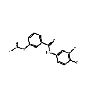 CC(C)NSc1cccc(C(=O)Nc2ccc(F)c(F)c2)c1